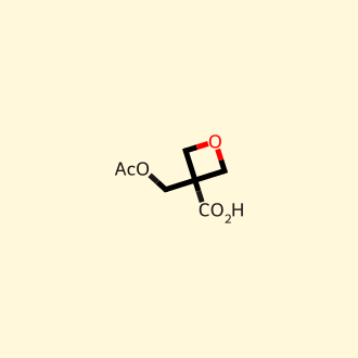 CC(=O)OCC1(C(=O)O)COC1